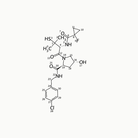 CC(C)(S)[C@H](NC(=O)C1(F)CC1)C(=O)N1C[C@H](O)C[C@H]1C(=O)NCc1ccc(Cl)cc1